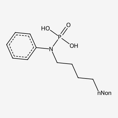 CCCCCCCCCCCCCN(c1ccccc1)P(=O)(O)O